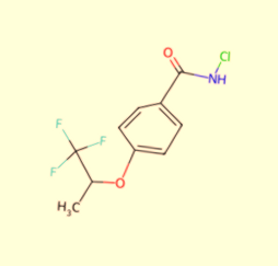 CC(Oc1ccc(C(=O)NCl)cc1)C(F)(F)F